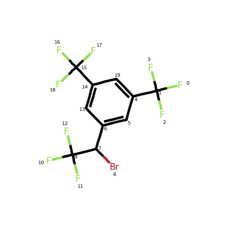 FC(F)(F)c1cc(C(Br)C(F)(F)F)cc(C(F)(F)F)c1